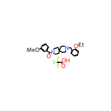 CCOc1ccccc1CN1CCC2(CC1)CCN(C(=O)c1cccc(OC)c1)CC2.O=C(O)C(F)(F)F